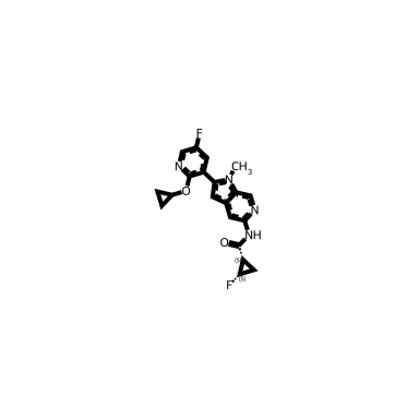 Cn1c(-c2cc(F)cnc2OC2CC2)cc2cc(NC(=O)[C@@H]3C[C@@H]3F)ncc21